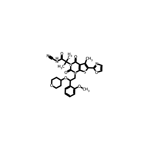 COc1ccccc1C(Cn1c(=O)n(C(C)(C)C(=O)NC#N)c(=O)c2c(C)c(-c3ncco3)sc21)OC1CCOCC1